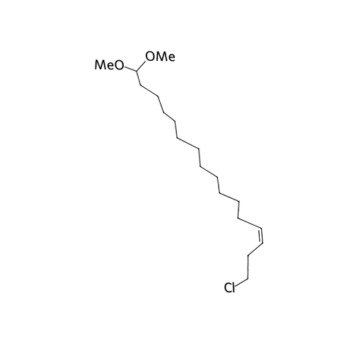 COC(CCCCCCCCCCC/C=C\CCCl)OC